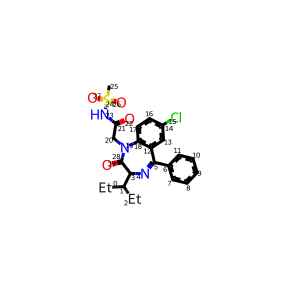 CCC(CC)C1N=C(c2ccccc2)c2cc(Cl)ccc2N(CC(=O)NS(C)(=O)=O)C1=O